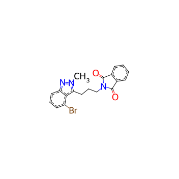 Cn1nc2cccc(Br)c2c1CCCN1C(=O)c2ccccc2C1=O